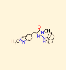 CN1C(=O)/C(=C/c2ccc3nn(C)cc3c2)N=C1NC12CC3CC(CC(C3)C1)C2